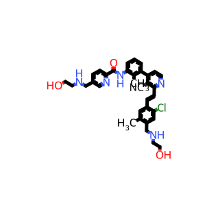 Cc1cc(/C=C/c2nccc(-c3cccc(NC(=O)c4ccc(CNCCO)cn4)c3C)c2C#N)c(Cl)cc1CNCCO